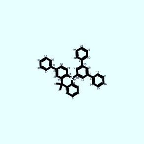 CC1(C)c2ccccc2N(c2cc(-c3ccccc3)cc(-c3ccccc3)c2)c2ccc(-c3ccccc3)cc21